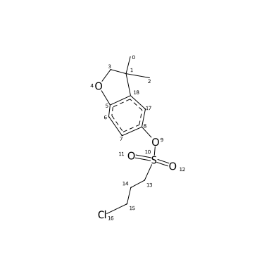 CC1(C)COc2ccc(OS(=O)(=O)CCCCl)cc21